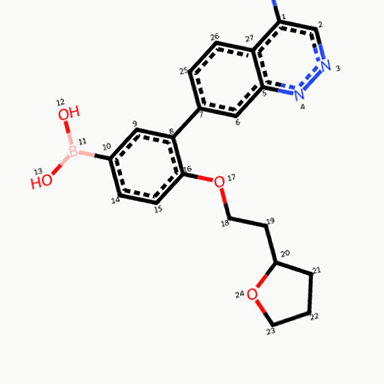 Nc1cnnc2cc(-c3cc(B(O)O)ccc3OCCC3CCCO3)ccc12